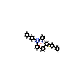 C1=CCC(C2=NC(c3ccc(-c4ccccc4)cc3)=NC(c3cccc4c3oc3c(C5=CC=CC6c7ccc(-c8ccccc8)cc7SC56)cccc34)N2)C=C1